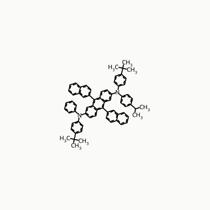 CC(C)c1ccc(N(c2ccc(C(C)(C)C)cc2)c2ccc3c(-c4ccc5ccccc5c4)c4cc(N(c5ccccc5)c5ccc(C(C)(C)C)cc5)ccc4c(-c4ccc5ccccc5c4)c3c2)cc1